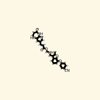 Cc1oc2c(Oc3ccc(C#N)cc3)cccc2c1CNCOC(=O)/C=C/c1cnc2c(c1)NCCC(=O)N2